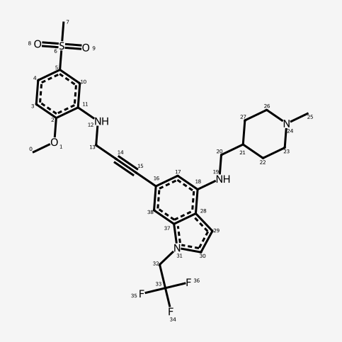 COc1ccc(S(C)(=O)=O)cc1NCC#Cc1cc(NCC2CCN(C)CC2)c2ccn(CC(F)(F)F)c2c1